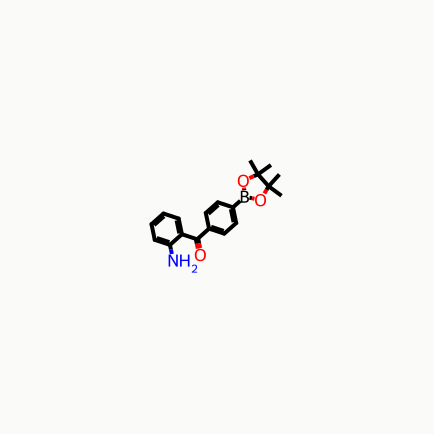 CC1(C)OB(c2ccc(C(=O)c3ccccc3N)cc2)OC1(C)C